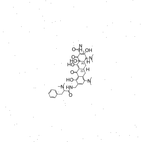 CN(C)c1cc(CNC(=O)C(Cc2ccccc2)N(C)C)c(O)c2c1C[C@@H]1C[C@@H]3[C@@H](N(C)C)C(O)=C(C(N)=O)C(=O)[C@]3(O)C(O)=C1C2=O